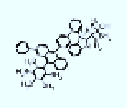 Bc1c(B)c(B)c(-c2c3ccccc3c(-c3ccc(-c4ccccc4-n4c(C(B)(B)C(B)(B)O)nc5ccccc54)cc3)c3ccc(-c4ccccc4)cc23)c(B)c1B